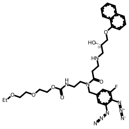 CCOCCOCCOC(=O)NCCN(Cc1cc(F)c(N=[N+]=[N-])c(N=[N+]=[N-])c1)C(=O)CCNC[C@H](O)COc1cccc2ccccc12